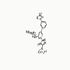 CONc1cc(-c2cccc(-c3cc[nH]n3)c2)cc(-c2nnc(SCC(=O)O)[nH]2)c1